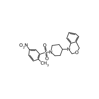 Cc1ccc([N+](=O)[O-])cc1S(=O)(=O)N1CCC(N2COCc3ccccc32)CC1